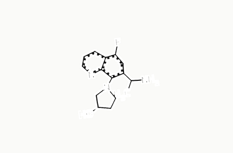 CC(N)c1cc(F)c2cccnc2c1N1CC[C@@H](O)C1